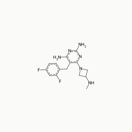 CNC1CN(c2nc(N)nc(N)c2Cc2ccc(F)cc2F)C1